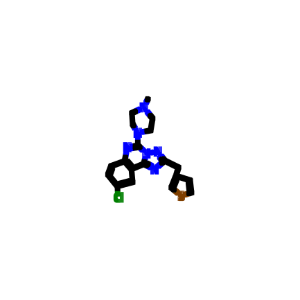 CN1CCN(c2nc3ccc(Cl)cc3c3nc(Cc4ccsc4)nn23)CC1